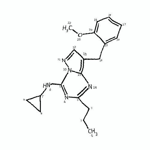 CCCc1nc(NC2CC2)n2ncc(Cc3ccccc3OC)c2n1